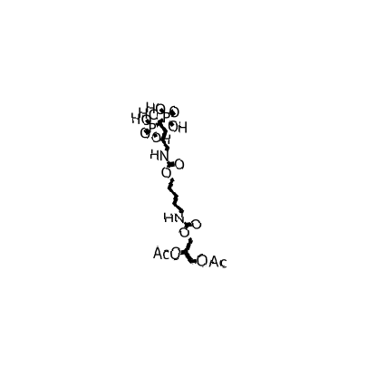 CC(=O)OCC(COC(=O)NCCCCCOC(=O)NCCCC(O)(P(=O)(O)O)P(=O)(O)O)OC(C)=O